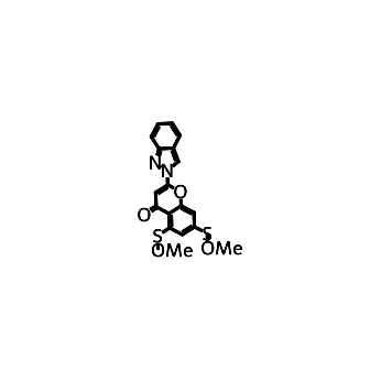 COSc1cc(SOC)c2c(=O)cc(-n3cc4ccccc4n3)oc2c1